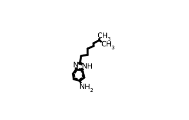 CC(C)CCCCCc1nc2ccc(N)cc2[nH]1